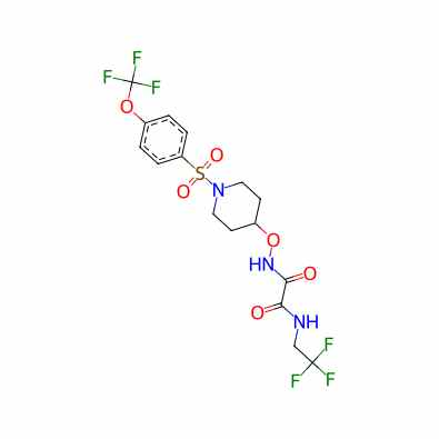 O=C(NCC(F)(F)F)C(=O)NOC1CCN(S(=O)(=O)c2ccc(OC(F)(F)F)cc2)CC1